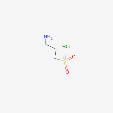 Cl.NCCC[SH](=O)=O